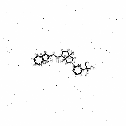 FC(F)(F)c1cccc(N2C[C@H]3CC[C@H](NCc4cc5cccnc5[nH]4)[C@H]3C2)n1